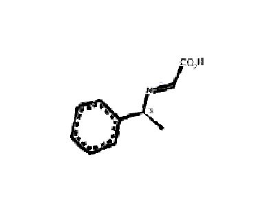 C[C@H](/N=C/C(=O)O)c1ccccc1